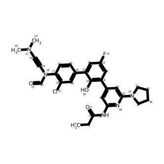 CCC(=O)Nc1cc(-c2cc(F)cc(-c3ccc(N(C#CN(C)C)C=O)c(Cl)c3)c2O)cc(N2CCCC2)n1